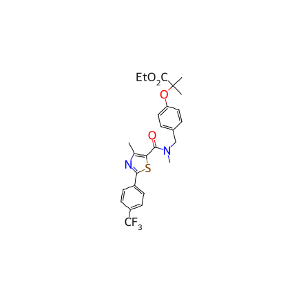 CCOC(=O)C(C)(C)Oc1ccc(CN(C)C(=O)c2sc(-c3ccc(C(F)(F)F)cc3)nc2C)cc1